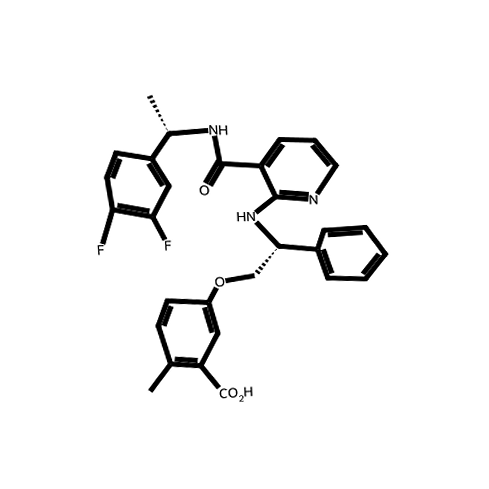 Cc1ccc(OC[C@H](Nc2ncccc2C(=O)N[C@@H](C)c2ccc(F)c(F)c2)c2ccccc2)cc1C(=O)O